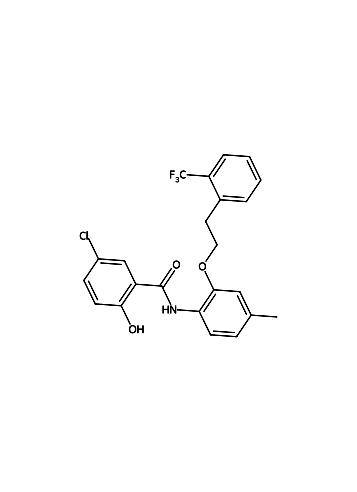 Cc1ccc(NC(=O)c2cc(Cl)ccc2O)c(OCCc2ccccc2C(F)(F)F)c1